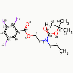 CCCN(CCOC(=O)c1cc(I)cc(I)c1I)C(=O)OC(C)(C)C